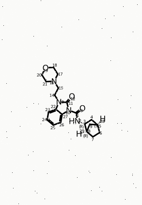 O=C(N[C@@H]1C[C@H]2CC[C@@H]1C2)n1c(=O)n(CCN2CCOCC2)c2ccccc21